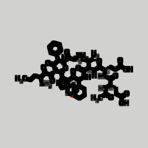 CCCC(N)C(=O)C(=O)N(C(=O)C(NC(=O)CN)c1ccccc1)C(=O)C1NCC2(SCCS2)C1C(=O)C(NC(=O)[C@@H](NC(=O)[C@H](CCC(=O)O)NC(=O)[C@H](CCC(=O)O)NC(C)=O)C(C)C)C1CCCCC1